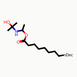 CCCCCCCCCCCCCCCCCC(=O)OC(C)NC(C)(C)O